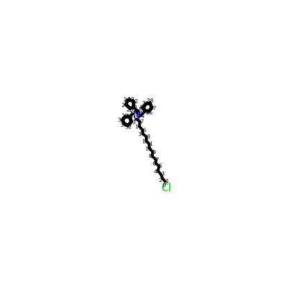 ClCCCCCCCCCCCCCCCCCC[N+](Cc1ccccc1)(Cc1ccccc1)Cc1ccccc1